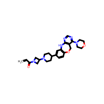 C=CC(=O)N1CC(N2CCC(c3ccc4c(c3)Nc3ncnc(N5CCOCC5)c3CO4)CC2)C1